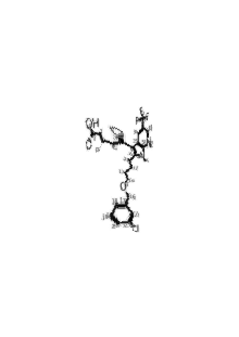 C[C@H](CC(=O)O)CC(=O)c1c(CCCCOCc2cccc(Cl)c2)n(C)c2ncc(C(F)(F)F)cc12